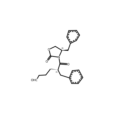 O=CCCC[C@@H](Cc1ccccc1)C(=O)N1C(=O)OC[C@H]1Cc1ccccc1